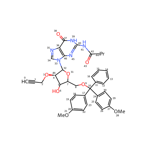 C#CCO[C@@H]1C(O)C(COC(c2ccccc2)(c2ccc(OC)cc2)c2ccc(OC)cc2)OC1n1cnc2c(=O)[nH]c(NC(=O)C(C)C)nc21